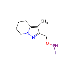 Cc1c(COPI)nn2c1CCCC2